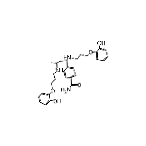 CC(CC(NCCCOc1ccccc1O)c1ccc(C(N)=O)cc1)NCCCOc1ccccc1O